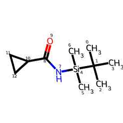 CC(C)(C)[Si](C)(C)NC(=O)C1CC1